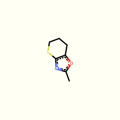 Cc1nc2c(o1)CCCS2